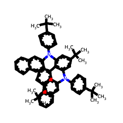 CC(C)(C)c1ccc(N(c2ccc(C(C)(C)C)cc2)c2cc(C(C)(C)C)cc(N(c3ccc(C(C)(C)C)cc3)c3ccc4ccccc4c3)c2-c2cccc(-c3ccccc3)c2)cc1